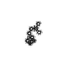 c1ccc(-c2cc(-c3ccccc3)nc(-c3cccc(-c4cccc(-c5cccc6c5Oc5ccccc5C65c6ccccc6-c6ccccc65)c4)c3)n2)cc1